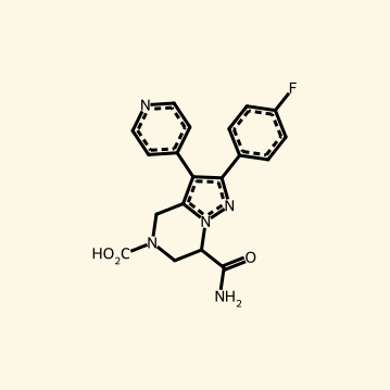 NC(=O)C1CN(C(=O)O)Cc2c(-c3ccncc3)c(-c3ccc(F)cc3)nn21